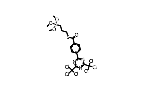 CO[Si](CCCSC(=O)c1ccc(-c2nc(C(Cl)(Cl)Cl)nc(C(Cl)(Cl)Cl)n2)cc1)(OC)OC